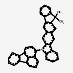 CC1(C)c2ccccc2-c2cc3cc4c(cc3cc21)c1ccccc1n4-c1ccc2c3c(cccc13)-c1ccccc1-2